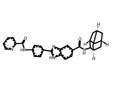 O=C(NC1[C@H]2C[C@@H]3C[C@@H](C[C@H]1C3)C2)c1ccc2[nH]c(-c3ccc(NC(=O)c4ccccn4)cc3)nc2c1